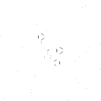 COc1ccc(S(=O)(=O)N(Cc2cccnc2)C(C(=O)NOCc2ccccc2OC)C(C)C)cc1